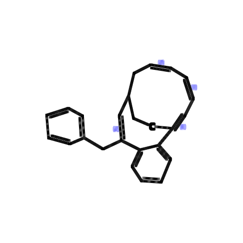 C1=C\C=C2/CCC(/C=C(/Cc3ccccc3)c3ccccc32)C\C=C/1